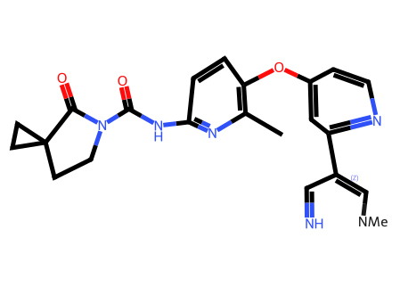 CN/C=C(\C=N)c1cc(Oc2ccc(NC(=O)N3CCC4(CC4)C3=O)nc2C)ccn1